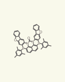 Cc1cc(C)c(B2c3cc4oc5ccccc5c4cc3N3C(=O)N4c5cc6c(cc5B(c5c(C)cc(C)cc5C)c5ccc7ccc2c3c7c54)oc2ccccc26)c(C)c1